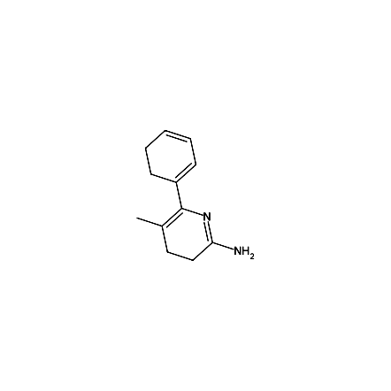 CC1=C(C2=CC=CCC2)N=C(N)CC1